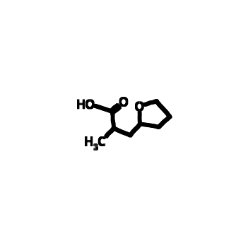 CC(CC1CCCO1)C(=O)O